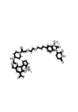 Cn1c(=O)n(C2CCC(=O)NC2=O)c2ccc(CCCOCCOCC(=O)N3CCC(Nc4ncc5c(n4)C(C4CCC[C@@]4(C)O)C(=O)C(C(F)F)=C5)CC3)cc21